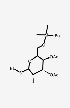 CCSC1OC(CO[Si](C)(C)C(C)(C)C)[C@@H](OC(C)=O)[C@H](OC(C)=O)[C@@H]1C